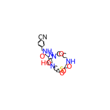 CC1(C)C(=O)NCCOCCn2nc(C(=O)NCc3ccc(C#N)cc3)c3c2C(O)N(CC3)CC2(CC2)S1(=O)=O